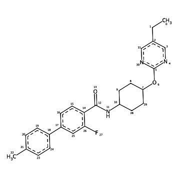 CCc1cnc(OC2CCC(NC(=O)c3ccc(-c4ccc(C)cc4)cc3F)CC2)nc1